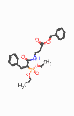 CCOP(=O)(OCC)C(Cc1ccccc1)C(=O)NCCC(=O)OCc1ccccc1